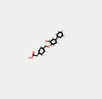 O=C(O)Cc1ccc(COc2ccc(-c3ccccc3)cc2Br)cc1